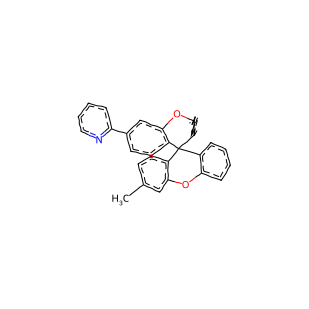 Cc1ccc2c(c1)Oc1ccccc1C21c2ccccc2Oc2cc(-c3ccccn3)ccc21